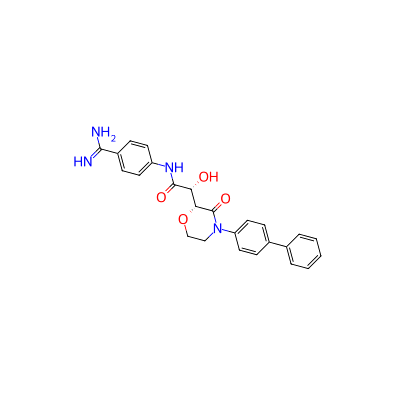 N=C(N)c1ccc(NC(=O)[C@H](O)[C@H]2OCCN(c3ccc(-c4ccccc4)cc3)C2=O)cc1